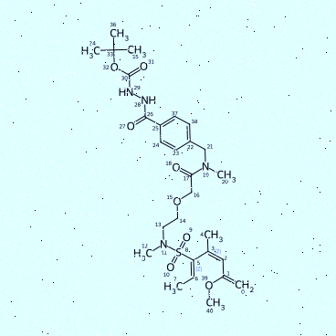 C=C(/C=C(C)\C(=C\C)S(=O)(=O)N(C)CCOCC(=O)N(C)Cc1ccc(C(=O)NNC(=O)OC(C)(C)C)cc1)OC